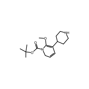 COC1=C(C2CCNCC2)C=CCN1C(=O)OC(C)(C)C